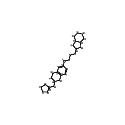 c1cc2c(cc1OCCCN1CC3CCCCC3C1)CCC(CN1CCCC1)C2